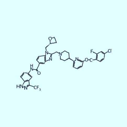 O=C(Nc1ccc2[nH]nc(C(F)(F)F)c2c1)c1ccc2c(c1)nc(CN1CCC(c3cccc(OCc4ccc(Cl)cc4F)n3)CC1)n2C[C@@H]1CCO1